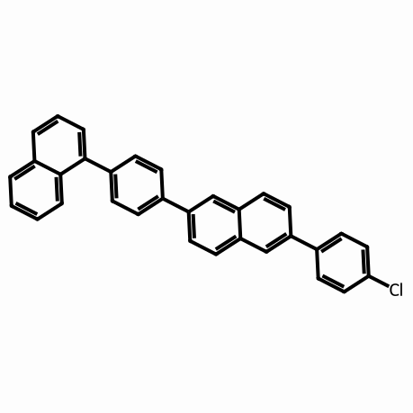 Clc1ccc(-c2ccc3cc(-c4ccc(-c5cccc6ccccc56)cc4)ccc3c2)cc1